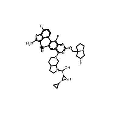 N#Cc1c(N)sc2c(F)ccc(-c3c(Cl)cc4c(N5CCC6CCN(C(O)[C@@H]7N[C@H]7C7CC7)C6C5)nc(OC[C@@]56CCCN5C[C@H](F)C6)nc4c3F)c12